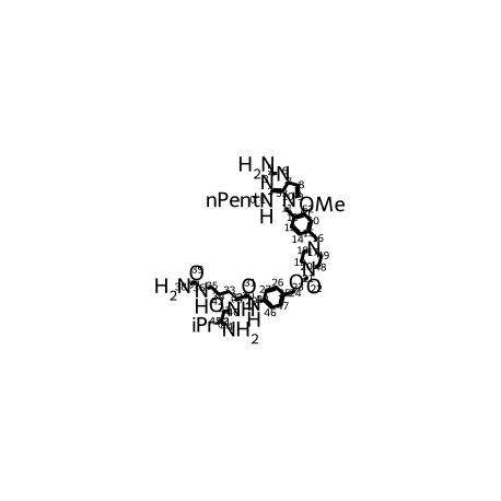 CCCCCNc1nc(N)nc2ccn(Cc3ccc(CN4CCN(C(=O)OCc5ccc(NC(=O)[C@H](CCCNC(N)=O)NC(=O)[C@@H](N)C(C)C)cc5)CC4)cc3OC)c12